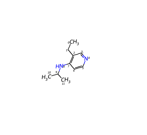 CCc1[c]nccc1NC(C)C